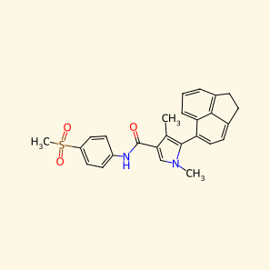 Cc1c(C(=O)Nc2ccc(S(C)(=O)=O)cc2)cn(C)c1-c1ccc2c3c(cccc13)CC2